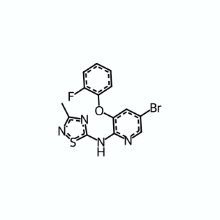 Cc1nsc(Nc2ncc(Br)cc2Oc2ccccc2F)n1